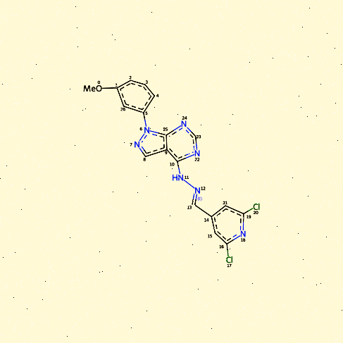 COc1cccc(-n2ncc3c(N/N=C/c4cc(Cl)nc(Cl)c4)ncnc32)c1